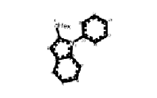 CCCCCCc1cc2ccccc2n1-c1ccccc1